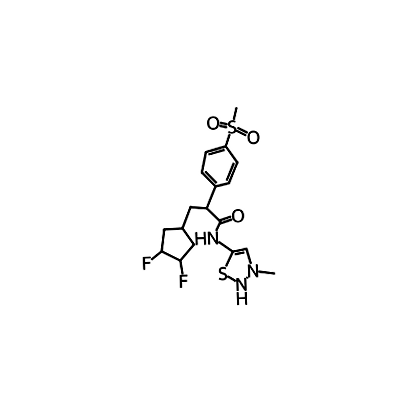 CN1C=C(NC(=O)C(CC2CC(F)C(F)C2)c2ccc(S(C)(=O)=O)cc2)SN1